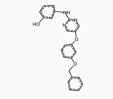 Oc1cccc(Nc2ncc(Oc3cccc(OCc4ccccc4)c3)cn2)c1